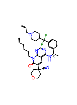 C=CCCCCn1c(=O)c(C2(C#N)CCOCC2)cc2c(N[C@H](C)c3cccc(C(F)(F)C4CCN(CC=C)CC4)c3)ncnc21